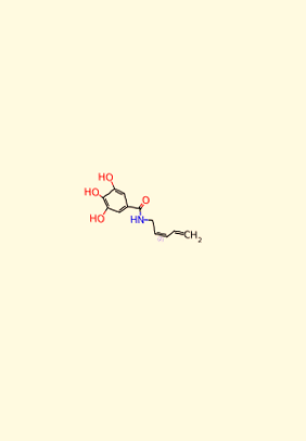 C=C/C=C\CNC(=O)c1cc(O)c(O)c(O)c1